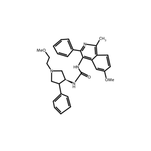 COCCN1CC(c2ccccc2)[C@H](NC(=O)Nc2c(-c3ccccc3)nc(C)c3ccc(OC)cc23)C1